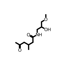 COCC(O)CNC(=O)CC(C)CC(C)=O